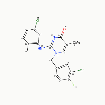 COc1cn(Cc2ccc(F)c(Cl)c2)c(Nc2cc(Cl)ccc2C)nc1=O